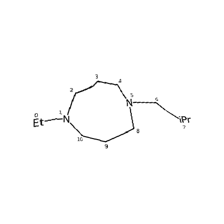 CCN1CCCN(CC(C)C)CCC1